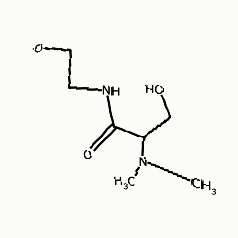 CN(C)C(CO)C(=O)NCC[O]